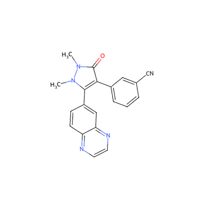 Cn1c(-c2ccc3nccnc3c2)c(-c2cccc(C#N)c2)c(=O)n1C